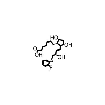 O=C(O)CCC/C=C\C[C@@H]1C(/C=C/[C@@H](O)CSc2ccccc2F)[C@H](O)C[C@@H]1O